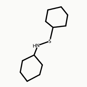 C1CCC(NSC2CCCCC2)CC1